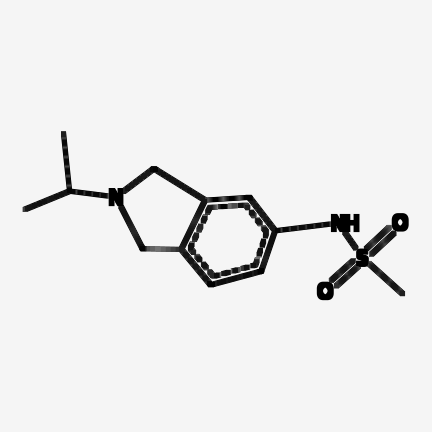 CC(C)N1Cc2ccc(NS(C)(=O)=O)cc2C1